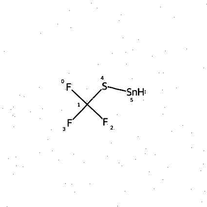 FC(F)(F)[S][SnH]